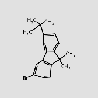 CC(C)(C)c1ccc2c(c1)-c1cc(Br)ccc1C2(C)C